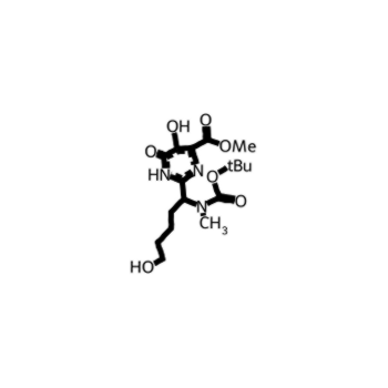 COC(=O)c1nc(C(CCCCO)N(C)C(=O)OC(C)(C)C)[nH]c(=O)c1O